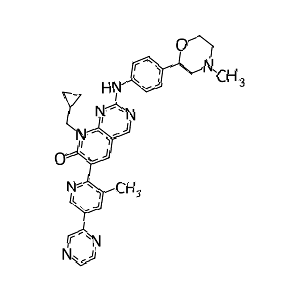 Cc1cc(-c2cnccn2)cnc1-c1cc2cnc(Nc3ccc(C4CN(C)CCO4)cc3)nc2n(CC2CC2)c1=O